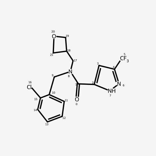 O=C(c1cc(C(F)(F)F)n[nH]1)N(Cc1ccccc1Cl)CC1COC1